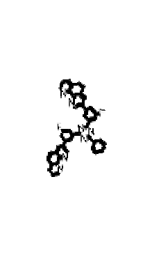 FC1=CC(c2nc(-c3ccccc3)nc(-c3cc(F)cc(-c4cnc5c(ccc6cccnc65)c4)c3)n2)=CC(c2cnc3c(ccc4cccnc43)c2)C1